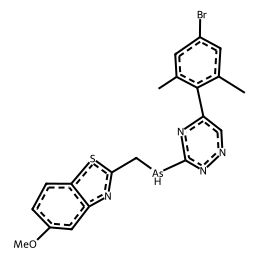 COc1ccc2sc(C[AsH]c3nncc(-c4c(C)cc(Br)cc4C)n3)nc2c1